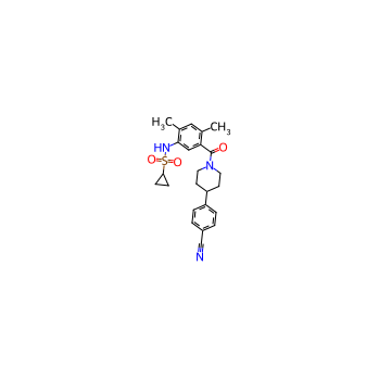 Cc1cc(C)c(C(=O)N2CCC(c3ccc(C#N)cc3)CC2)cc1NS(=O)(=O)C1CC1